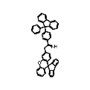 N=C(Cc1ccc2c(c1)Oc1ccccc1C21c2ccccc2-c2ccccc21)c1ccc(C2(c3ccccc3)c3ccccc3-c3ccccc32)cc1